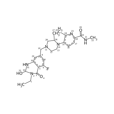 CCN1C(=O)c2c(F)cc(CN3CCN(c4ccc(C(=O)NC)nc4C)C(C)C3)cc2NC1O